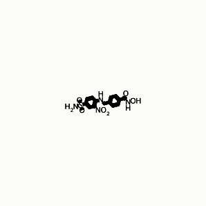 NS(=O)(=O)c1ccc(NCc2ccc(C(=O)NO)cc2)c([N+](=O)[O-])c1